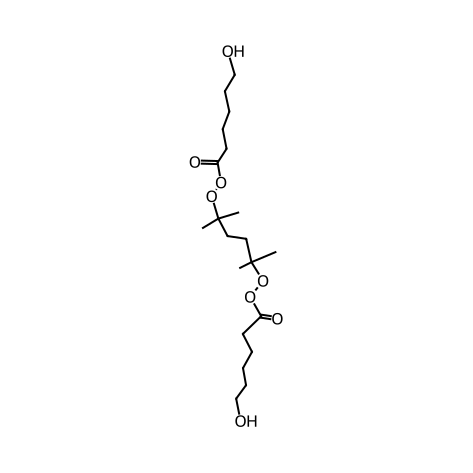 CC(C)(CCC(C)(C)OOC(=O)CCCCCO)OOC(=O)CCCCCO